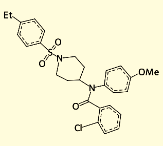 CCc1ccc(S(=O)(=O)N2CCC(N(C(=O)c3ccccc3Cl)c3ccc(OC)cc3)CC2)cc1